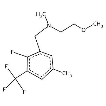 COCCN(C)Cc1cc(C)cc(C(F)(F)F)c1F